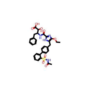 CCOc1nc(C(=O)NC(Cc2ccccc2)C(O)C(=O)O)[nH]c1Cc1ccc(-c2ccccc2S(=O)(=O)NC(C)=O)cc1